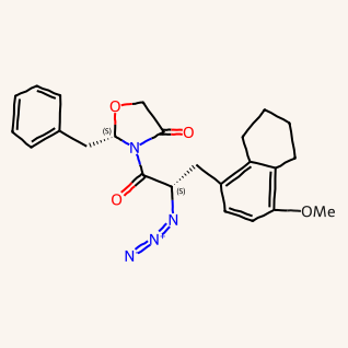 COc1ccc(C[C@H](N=[N+]=[N-])C(=O)N2C(=O)CO[C@H]2Cc2ccccc2)c2c1CCCC2